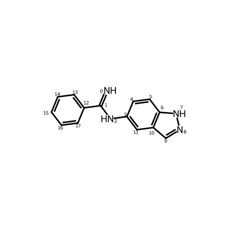 N=C(Nc1ccc2[nH]ncc2c1)c1ccccc1